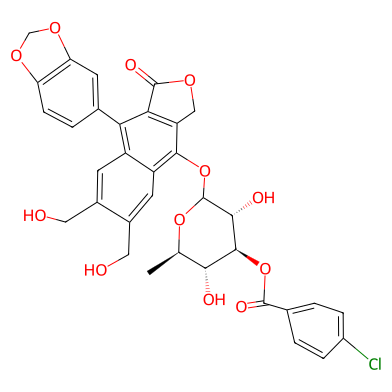 C[C@H]1OC(Oc2c3c(c(-c4ccc5c(c4)OCO5)c4cc(CO)c(CO)cc24)C(=O)OC3)[C@H](O)[C@@H](OC(=O)c2ccc(Cl)cc2)[C@@H]1O